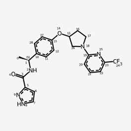 C[C@H](NC(=O)c1cc[nH]n1)c1ccc(OC2CCN(c3cccc(C(F)(F)F)n3)C2)cc1